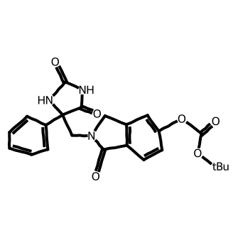 CC(C)(C)OC(=O)Oc1ccc2c(c1)CN(CC1(c3ccccc3)NC(=O)NC1=O)C2=O